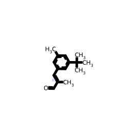 C/C(C=O)=C\c1cc(C)cc(C(C)(C)C)c1